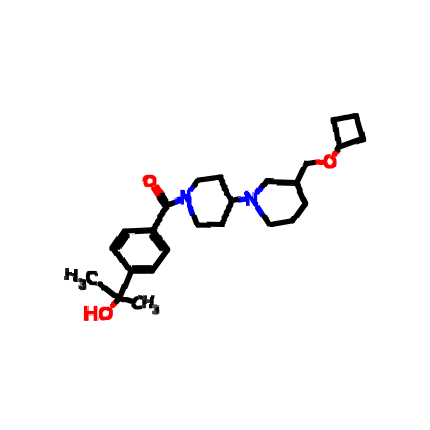 CC(C)(O)c1ccc(C(=O)N2CCC(N3CCCC(COC4CCC4)C3)CC2)cc1